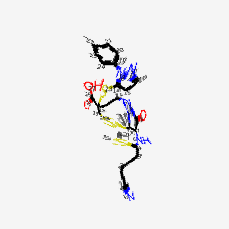 N#CCCC(=S)N[C@@H]1C(=O)N2CC(Sc3ccnn3-c3ccccc3)(C(=O)O)CS[C@H]12